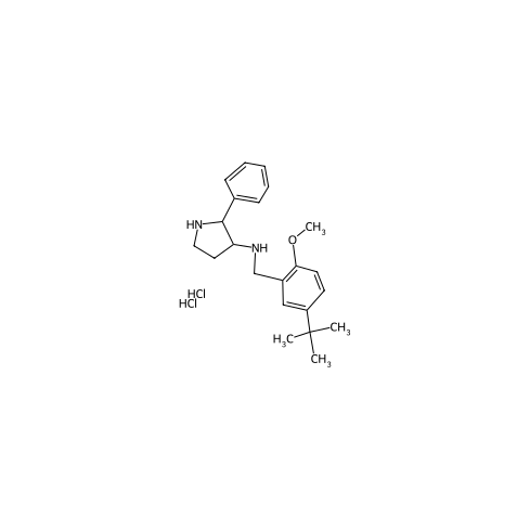 COc1ccc(C(C)(C)C)cc1CNC1CCNC1c1ccccc1.Cl.Cl